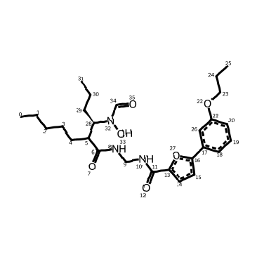 CCCCCC(C(=O)NCNC(=O)c1ccc(-c2cccc(OCCC)c2)o1)[C@@H](CCC)N(O)C=O